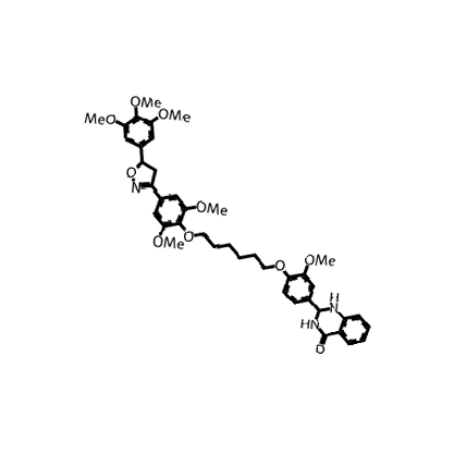 COc1cc(C2NC(=O)c3ccccc3N2)ccc1OCCCCCCOc1c(OC)cc(C2=NOC(c3cc(OC)c(OC)c(OC)c3)C2)cc1OC